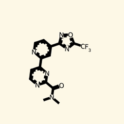 CN(C)C(=O)c1nccc(-c2cc(-c3noc(C(F)(F)F)n3)ccn2)n1